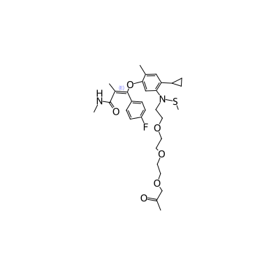 CNC(=O)/C(C)=C(/Oc1cc(N(CCOCCOCCOCC(C)=O)SC)c(C2CC2)cc1C)c1ccc(F)cc1